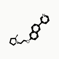 C[C@@H]1CCCN1CCOc1ccc2cc(-c3cccnc3)ccc2c1